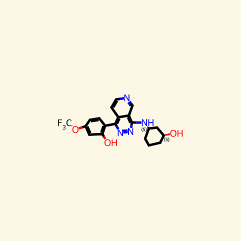 Oc1cc(OC(F)(F)F)ccc1-c1nnc(N[C@H]2CCC[C@H](O)C2)c2cnccc12